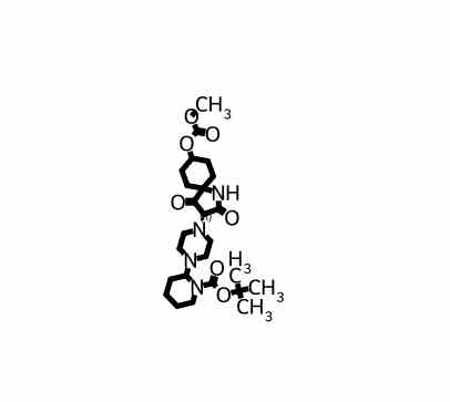 COC(=O)OC1CCC2(CC1)NC(=O)[C@H](N1CCN(C3CCCCN3C(=O)OC(C)(C)C)CC1)C2=O